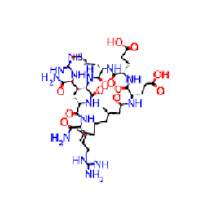 CSCC[C@H](NC(=O)[C@H](CCC(=O)O)NC(=O)[C@H](CCC(=O)O)NC(=O)/C=C(\C)CCC=C(C)C)C(=O)N[C@@H](CCC(N)=O)C(=O)N[C@@H](CCCNC(=N)N)C(=O)N[C@@H](CCCNC(=N)N)C(N)=O